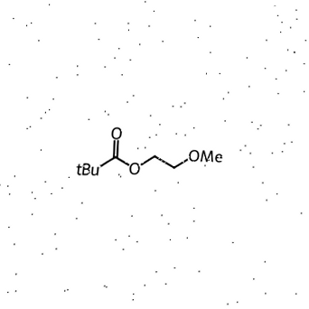 COCCOC(=O)C(C)(C)C